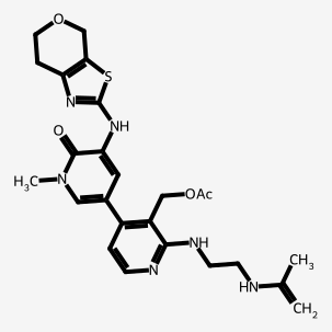 C=C(C)NCCNc1nccc(-c2cc(Nc3nc4c(s3)COCC4)c(=O)n(C)c2)c1COC(C)=O